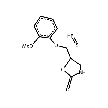 COc1ccccc1OCC1CNC(=O)O1.P=S